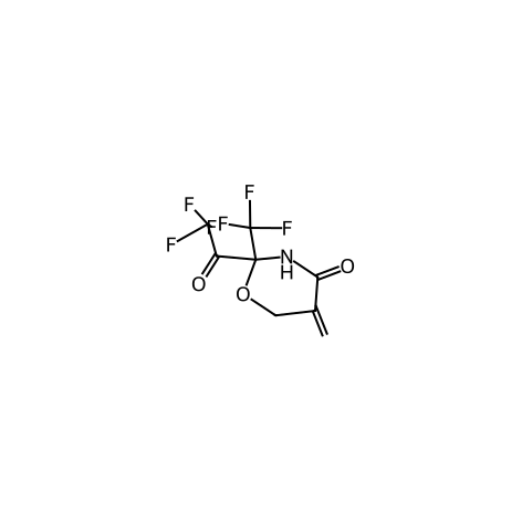 C=C1COC(C(=O)C(F)(F)F)(C(F)(F)F)NC1=O